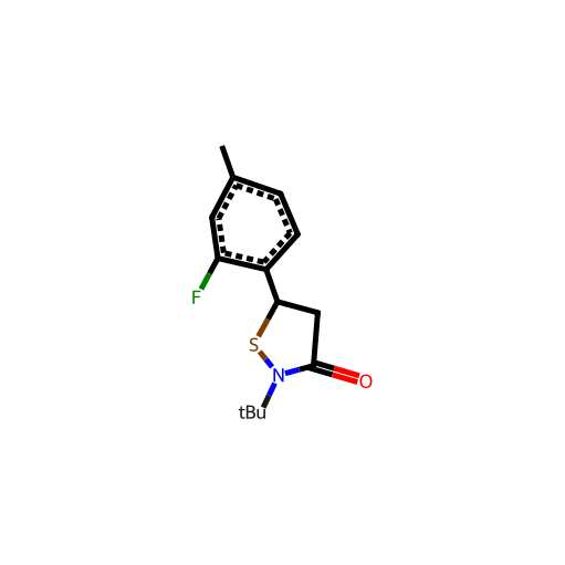 Cc1ccc(C2CC(=O)N(C(C)(C)C)S2)c(F)c1